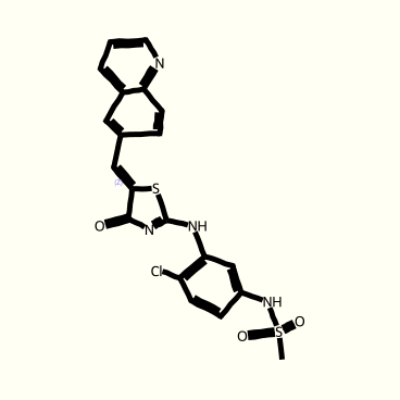 CS(=O)(=O)Nc1ccc(Cl)c(NC2=NC(=O)/C(=C/c3ccc4ncccc4c3)S2)c1